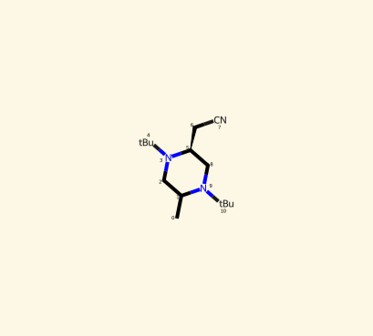 CC1CN(C(C)(C)C)[C@@H](CC#N)CN1C(C)(C)C